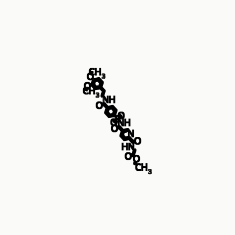 CCOC(=O)CNC(=O)c1ccc(C(=O)NS(=O)(=O)c2ccc(C(=O)NCCc3ccc(OC)c(OC)c3)cc2)cn1